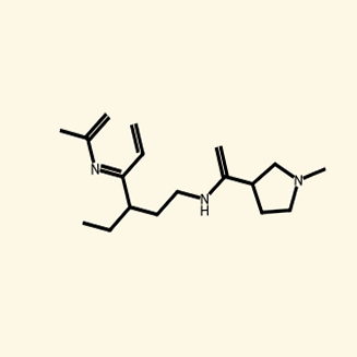 C=C/C(=N\C(=C)C)C(CC)CCNC(=C)C1CCN(C)C1